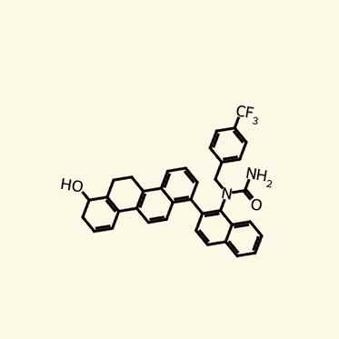 NC(=O)N(Cc1ccc(C(F)(F)F)cc1)c1c(-c2cccc3c4c(ccc23)C2=C(CC4)C(O)CC=C2)ccc2ccccc12